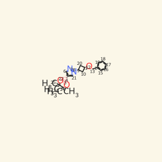 CC1(C)OB(c2cnn([C@H]3C[C@@H](OCc4ccccc4)C3)c2)OC1(C)C